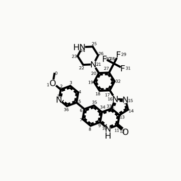 COc1ccc(-c2ccc3[nH]c(=O)c4cnn(-c5ccc(N6CCNCC6)c(C(F)(F)F)c5)c4c3c2)cn1